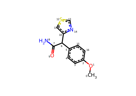 COc1ccc(C(C(N)=O)c2cscn2)cc1